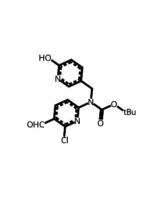 CC(C)(C)OC(=O)N(Cc1ccc(O)nc1)c1ccc(C=O)c(Cl)n1